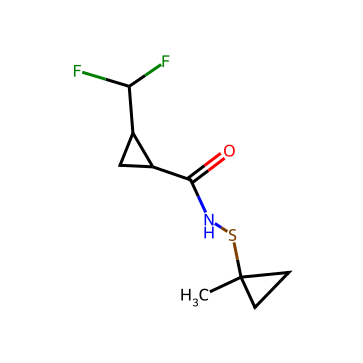 CC1(SNC(=O)C2CC2C(F)F)CC1